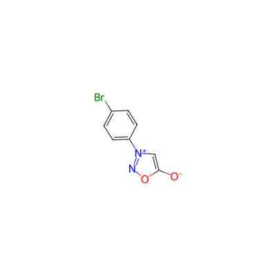 [O-]c1c[n+](-c2ccc(Br)cc2)no1